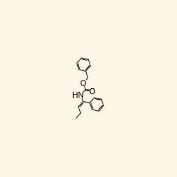 CCC=C(NC(=O)OCc1ccccc1)c1ccccc1